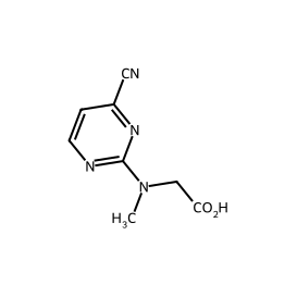 CN(CC(=O)O)c1nccc(C#N)n1